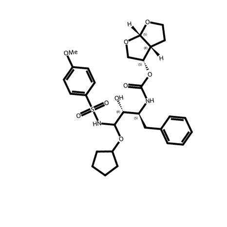 COc1ccc(S(=O)(=O)NC(OC2CCCC2)[C@H](O)[C@H](Cc2ccccc2)NC(=O)O[C@@H]2CO[C@@H]3OCC[C@@H]32)cc1